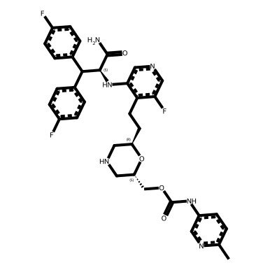 Cc1ccc(NC(=O)OC[C@@H]2CNC[C@@H](CCc3c(F)cncc3N[C@H](C(N)=O)C(c3ccc(F)cc3)c3ccc(F)cc3)O2)cn1